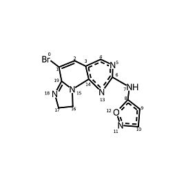 BrC1=Cc2cnc(Nc3ccno3)nc2N2CCN=C12